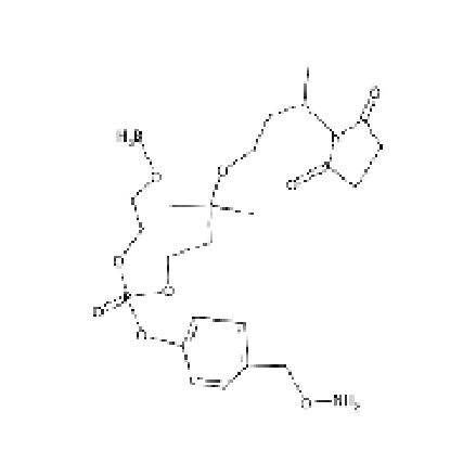 BOCCOP(=O)(OCCC(C)(C)OCCC(C)N1C(=O)CCC1=O)Oc1ccc(CON)cc1